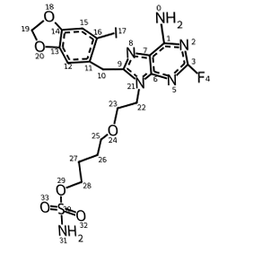 Nc1nc(F)nc2c1nc(Cc1cc3c(cc1I)OCO3)n2CCOCCCCOS(N)(=O)=O